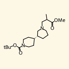 COC(=O)C(C)CN1CCC[C@H](C2CCN(C(=O)OC(C)(C)C)CC2)C1